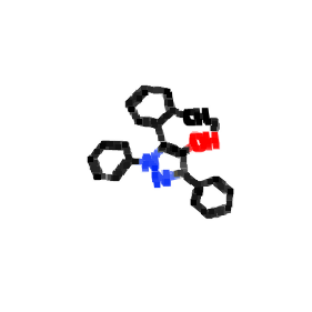 Cc1ccccc1-c1c(O)c(-c2ccccc2)nn1-c1ccccc1